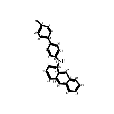 Cc1ccc(-c2ccc(Nc3cccc4cc5ccccc5cc34)cc2)cc1